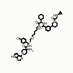 NC1(C(=O)N[C@@H](CCOCCCCCNC(=O)[C@H](NC(=O)c2cccc(C3CCCN(C(=O)CNC4CC4)C3)c2)C2CCCCC2)c2ccc(Cl)cc2)CCN(c2ncnc3[nH]ccc23)CC1